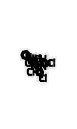 Cc1c(C(=O)NN2CCCCCC2)nc(-c2ccc(Cl)cc2Cl)n1-c1ccc(Cl)cn1